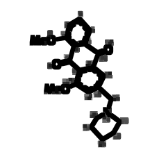 COc1cccc2c1C(=O)c1c(OC)cc(CN3CCCCC3)cc1C2=O